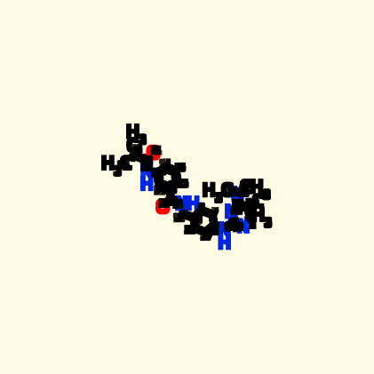 Cc1cnc(NC2CCC(CNC(=O)c3cccc(NC(=O)C(C)C)c3)CC2)nc1N(C)C